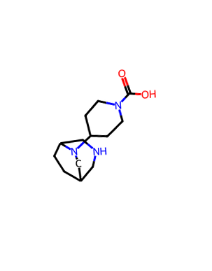 O=C(O)N1CCC(N2CC3CCC2CNC3)CC1